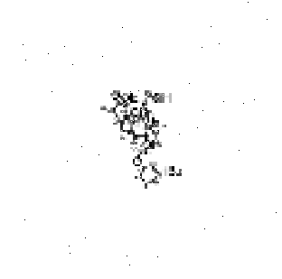 CCC(C)c1cccc(OC(=O)O[C@@H]2[C@@H](C)[C@@]3(O)[C@@H](C=C(CO)C[C@]4(O)C(=O)C(C)=C[C@@H]34)[C@H]3C(C)(C)[C@]23O)c1